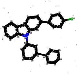 Clc1ccc(-c2ccc3c4ccccc4n(-c4cccc(-c5ccccc5)c4)c3c2)cc1